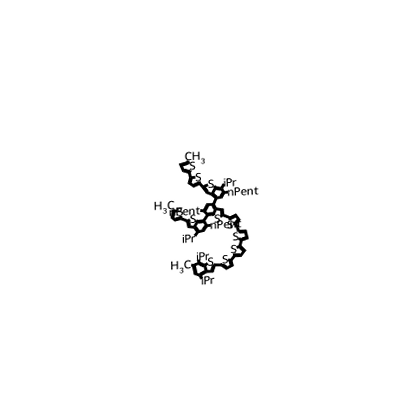 CCCCCc1cc(-c2cc(CCCCC)c(C(C)C)c3sc(-c4ccc(-c5ccc(C)s5)s4)cc23)c2cc(-c3ccc(-c4ccc(-c5ccc(-c6ccc(-c7cc8c(C(C)C)cc(C)c(C(C)C)c8s7)s6)s5)s4)s3)sc2c1-c1c(CCCCC)cc(C(C)C)c2cc(-c3ccc(C)s3)sc12